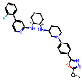 Cc1nnc(-c2ccc(N3CCCC(N[C@@H]4CCCC[C@H]4Nc4cc(-c5ccccc5F)ccn4)C3)cc2)o1